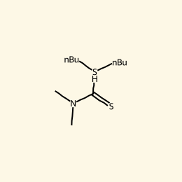 CCCC[SH](CCCC)C(=S)N(C)C